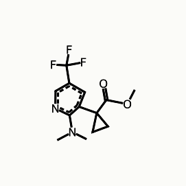 COC(=O)C1(c2cc(C(F)(F)F)cnc2N(C)C)CC1